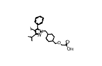 CC(C)c1nn(CC2CCC(COCC(=O)O)CC2)c(-c2ccccc2)c1I